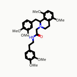 COc1ccc(CCNC(=O)CN2CCc3c(OC)ccc(OC)c3C2Cc2ccc(OC)c(OC)c2)cc1OC